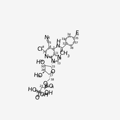 C[C@@H](Nc1c(C#N)c(Cl)nc2c1ncn2[C@@H]1O[C@H](COP(=O)(O)CP(=O)(O)O)[C@@H](O)[C@H]1O)c1ccc(F)cc1